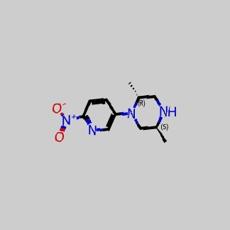 C[C@@H]1CN[C@@H](C)CN1c1ccc([N+](=O)[O-])nc1